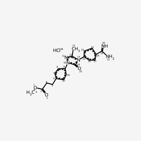 COC(=O)CCc1ccc(-n2nc(C)n(-c3ccc(C(=N)N)cc3)c2=O)cc1.Cl